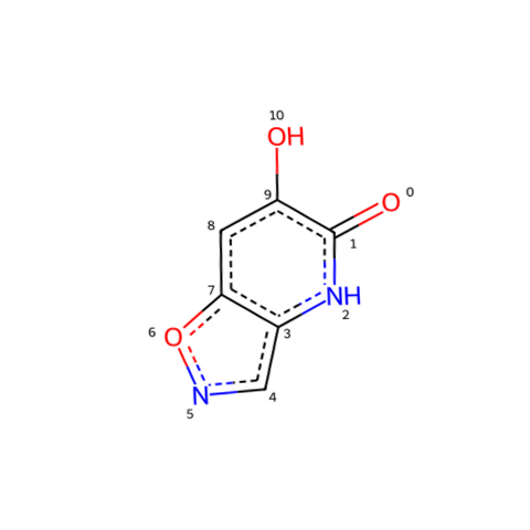 O=c1[nH]c2cnoc2cc1O